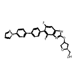 OC[C@@H]1CC(Oc2nc3c(F)c(-c4ccc(-c5ccc(-n6cccn6)cc5)cc4)c(F)cc3[nH]2)CO1